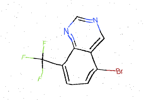 FC(F)(F)c1ccc(Br)c2cncnc12